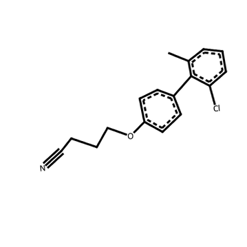 Cc1cccc(Cl)c1-c1ccc(OCCCC#N)cc1